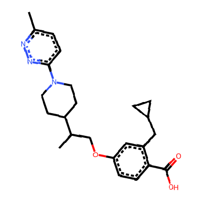 Cc1ccc(N2CCC(C(C)COc3ccc(C(=O)O)c(CC4CC4)c3)CC2)nn1